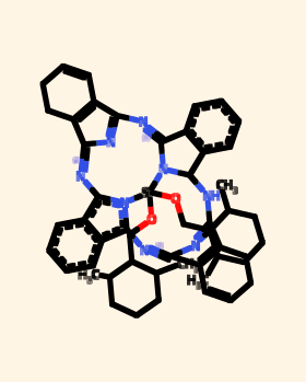 CC1CCCC(C)C1CO[Si]1(OCC2C(C)CCCC2C)N2/C3=N\C4=NC(=N\c5c6ccccc6c(n51)/N=C1\N=C(NC2c2ccccc23)C2=C1C=CCC2)/C1=C4C=CCC1